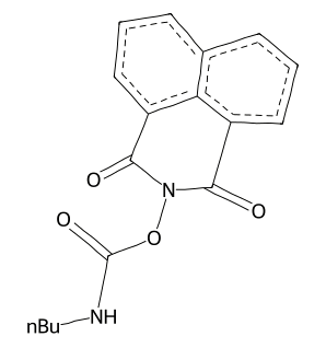 CCCCNC(=O)ON1C(=O)c2cccc3cccc(c23)C1=O